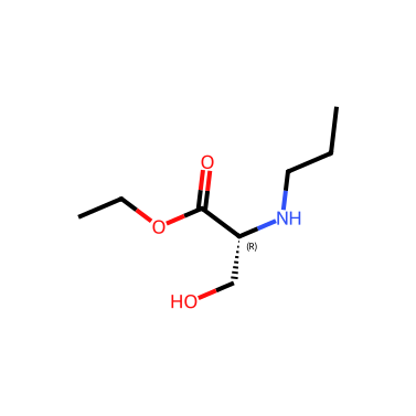 CCCN[C@H](CO)C(=O)OCC